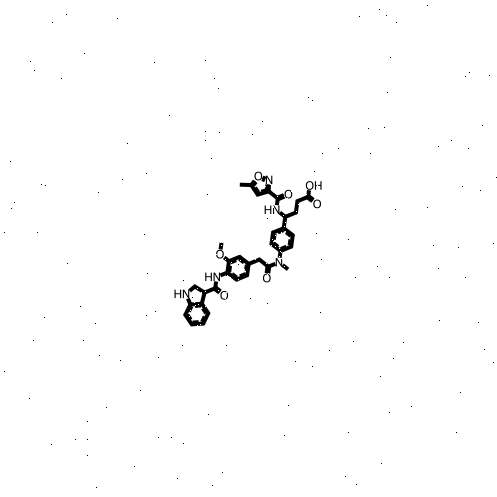 COc1cc(CC(=O)N(C)c2ccc(C(CCC(=O)O)NC(=O)c3cc(C)on3)cc2)ccc1NC(=O)C1CNc2ccccc21